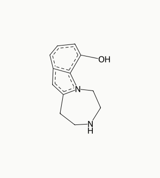 Oc1cccc2cc3n(c12)CCNCC3